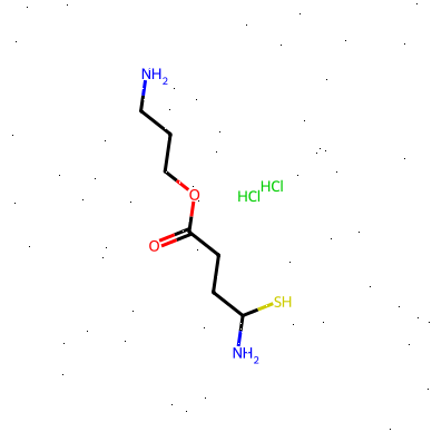 Cl.Cl.NCCCOC(=O)CCC(N)S